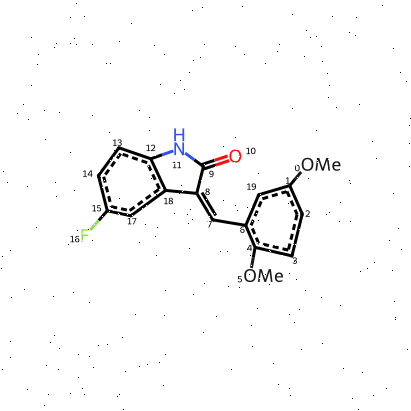 COc1ccc(OC)c(C=C2C(=O)Nc3ccc(F)cc32)c1